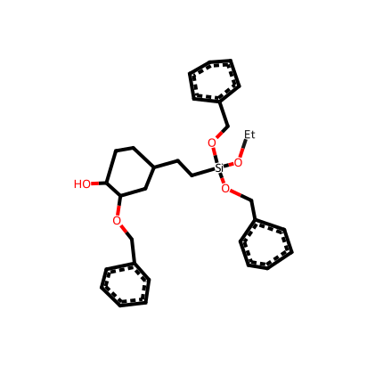 CCO[Si](CCC1CCC(O)C(OCc2ccccc2)C1)(OCc1ccccc1)OCc1ccccc1